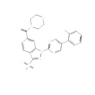 CS(=O)(=O)c1nn(-c2ncc(-c3ccccc3F)cn2)c2cc(C(=O)N3CCNCC3)ccc12